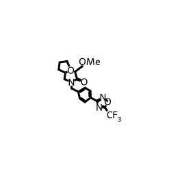 COCCC(=O)N(Cc1ccc(-c2noc(C(F)(F)F)n2)cc1)CC1CCCO1